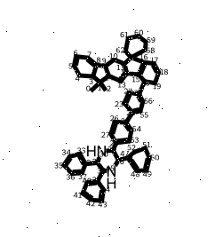 CC1(C)C2CC=CC=C2C2CC3C(=CC21)C1=C(C=CCC1c1ccc(-c2ccc(C4NC(c5ccccc5)C(c5ccccc5)NC4C4=CC=CCC4)cc2)cc1)C31CCCCC1